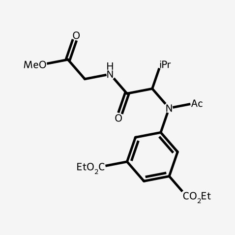 CCOC(=O)c1cc(C(=O)OCC)cc(N(C(C)=O)C(C(=O)NCC(=O)OC)C(C)C)c1